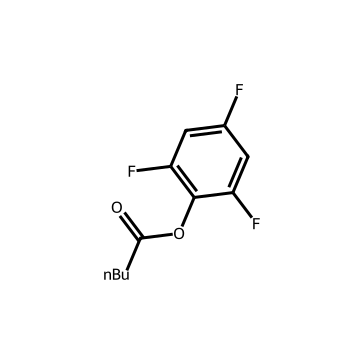 CCCCC(=O)Oc1c(F)cc(F)cc1F